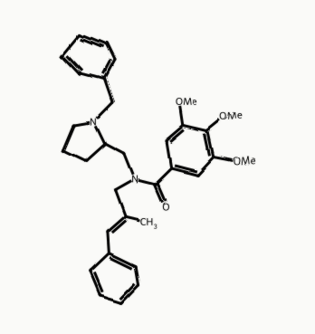 COc1cc(C(=O)N(C/C(C)=C/c2ccccc2)CC2CCCN2Cc2ccccc2)cc(OC)c1OC